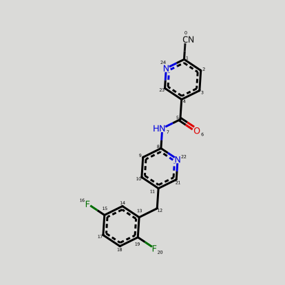 N#Cc1ccc(C(=O)Nc2ccc(Cc3cc(F)ccc3F)cn2)cn1